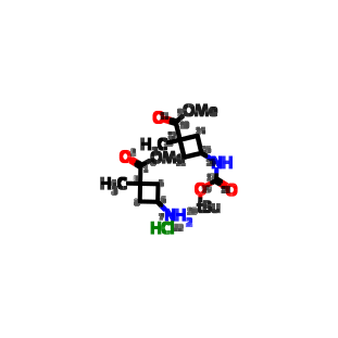 COC(=O)C1(C)CC(N)C1.COC(=O)C1(C)CC(NC(=O)OC(C)(C)C)C1.Cl